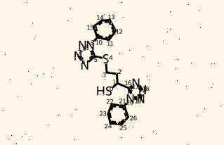 SC(CCSc1nnnn1-c1ccccc1)c1nnnn1-c1ccccc1